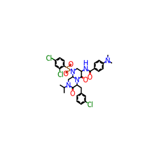 CC(C)N1CC2N(C(=O)C(NC(=O)c3ccc(N(C)C)cc3)CN2S(=O)(=O)c2ccc(Cl)cc2Cl)C(Cc2cccc(Cl)c2)C1=O